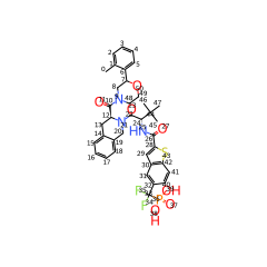 Cc1ccccc1C1CN(C(=O)[C@@H]2Cc3ccccc3CN2C(=O)[C@@H](NC(=O)c2cc3cc(C(F)(F)P(=O)(O)O)ccc3s2)C(C)(C)C)CCO1